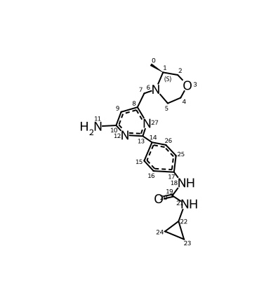 C[C@H]1COCCN1Cc1cc(N)nc(-c2ccc(NC(=O)NC3CC3)cc2)n1